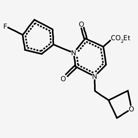 CCOC(=O)c1cn(CC2COC2)c(=O)n(-c2ccc(F)cc2)c1=O